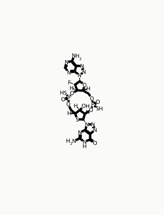 Nc1nc2c(nnn2[C@@H]2S[C@@H]3COP(=O)(S)O[C@H]4[C@H](F)[C@H](n5nnc6c(N)ncnc65)O[C@@H]4COP(=O)(S)O[C@@H]2[C@@H]3O)c(=O)[nH]1